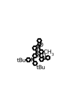 Cc1cc2c3c(c1)-n1c4oc5ccccc5c4c4cccc(c41)B3c1ccc(N(c3ccc(C(C)(C)C)cc3)c3ccc(C(C)(C)C)cc3)cc1N2c1cccc2c1oc1ccccc12